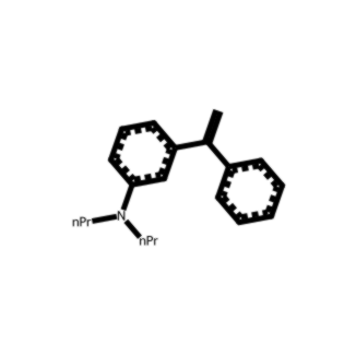 C=C(c1ccccc1)c1cccc(N(CCC)CCC)c1